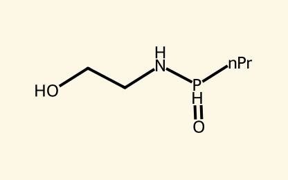 CCC[PH](=O)NCCO